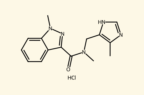 Cc1nc[nH]c1CN(C)C(=O)c1nn(C)c2ccccc12.Cl